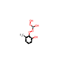 OOB(O)OOc1c(O)cccc1C(F)(F)F